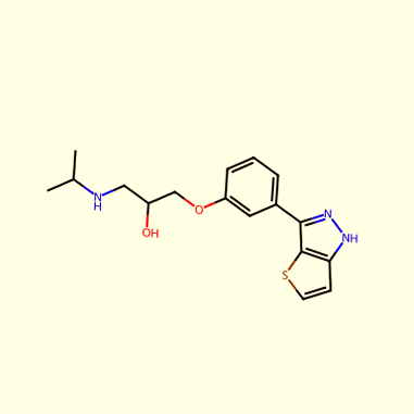 CC(C)NCC(O)COc1cccc(-c2n[nH]c3ccsc23)c1